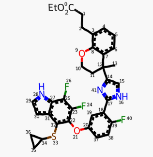 CCOC(=O)CCc1cccc2c1OCCC2(C)c1c[nH]c(-c2cc(Oc3c(F)c(F)c4[nH]ccc4c3SC3CC3)ccc2F)n1